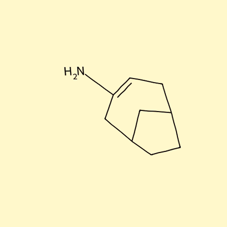 NC1=CCC2CCC(C1)C2